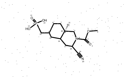 COC(=O)N1C[C@@H]2CCC(CP(=O)(O)O)CC2CC1C#N